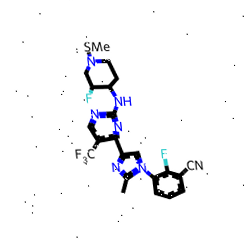 CSN1CCC(Nc2ncc(C(F)(F)F)c(-c3cn(-c4cccc(C#N)c4F)c(C)n3)n2)C(F)C1